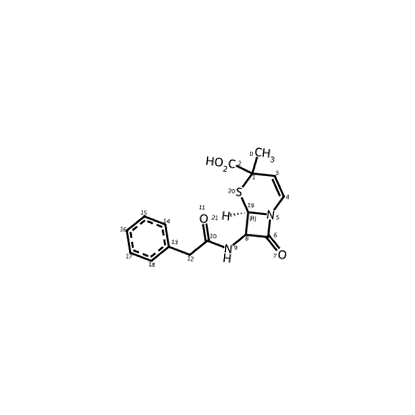 CC1(C(=O)O)C=CN2C(=O)C(NC(=O)Cc3ccccc3)[C@H]2S1